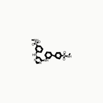 CNS(=O)(=O)c1ccc(-c2cccc(Nc3cc(Nc4cccc(S(=O)(=O)NC)c4)ncn3)c2)cc1